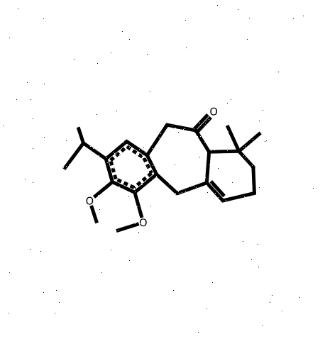 COc1c(C(C)C)cc2c(c1OC)CC1=CCCC(C)(C)C1C(=O)C2